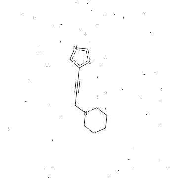 C(#Cc1cncs1)CN1CCCCC1